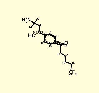 CC(C)(N)C[C@@H](O)c1ccc(C(=O)CCCCC(F)(F)F)cc1